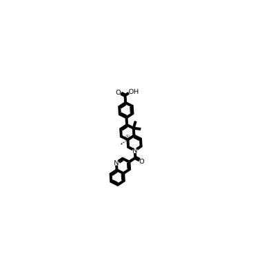 CC1(C)C(c2ccc(C(=O)O)cc2)=CC[C@]2(C)CN(C(=O)c3cnc4ccccc4c3)CC=C12